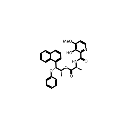 COc1ccnc(C(=O)N[C@@H](C)C(=O)O[C@@H](C)[C@H](Oc2ccccc2)c2cccc3ccccc23)c1O